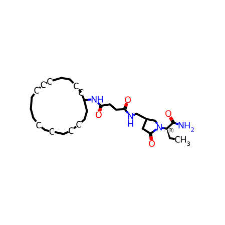 CC[C@H](C(N)=O)N1CC(CNC(=O)CCC(=O)NC2CCCCCCCCCCCCCCCCCC2)CC1=O